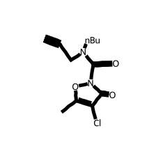 C#CCN(CCCC)C(=O)n1oc(C)c(Cl)c1=O